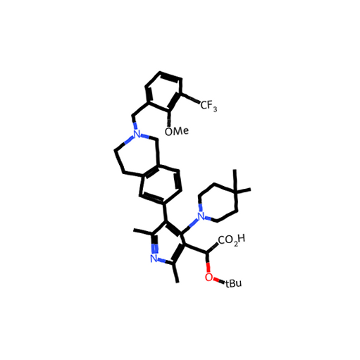 COc1c(CN2CCc3cc(-c4c(C)nc(C)c(C(OC(C)(C)C)C(=O)O)c4N4CCC(C)(C)CC4)ccc3C2)cccc1C(F)(F)F